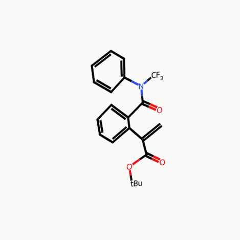 C=C(C(=O)OC(C)(C)C)c1ccccc1C(=O)N(c1ccccc1)C(F)(F)F